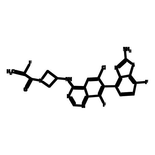 C=C(F)C(=O)N1CC(Nc2ncnc3c(F)c(-c4ccc(F)c5sc(N)nc45)c(Cl)cc23)C1